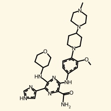 COc1cc(Nc2nc(NC3CCOCC3)c(-c3c[nH]cn3)nc2C(N)=O)ccc1N1CCC(N2CCN(C)CC2)CC1